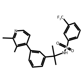 Cc1nccc(-c2cccc(C(C)(C)NS(=O)(=O)c3cccc(C(F)(F)F)c3)c2)c1C